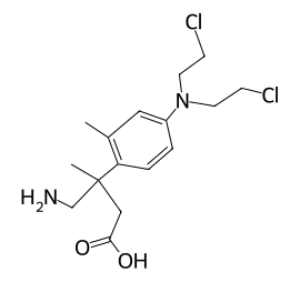 Cc1cc(N(CCCl)CCCl)ccc1C(C)(CN)CC(=O)O